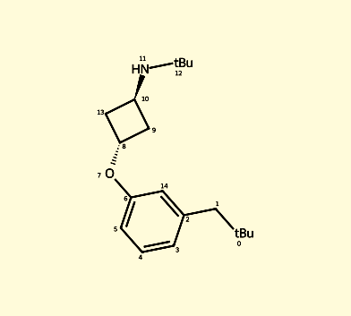 CC(C)(C)Cc1cccc(O[C@H]2C[C@H](NC(C)(C)C)C2)c1